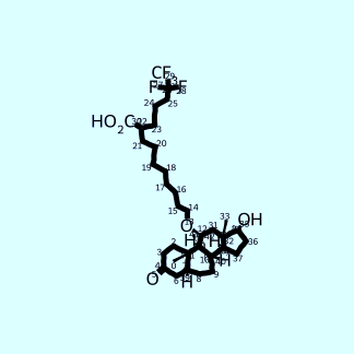 C[C@]12CCC(=O)C[C@@H]1CC[C@@H]1[C@@H]2[C@@H](OCCCCCCCCC(CCCC(F)(F)C(F)(F)F)C(=O)O)C[C@]2(C)[C@@H](O)CC[C@@H]12